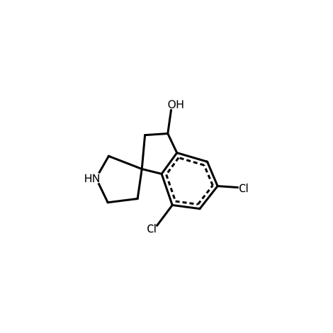 OC1CC2(CCNC2)c2c(Cl)cc(Cl)cc21